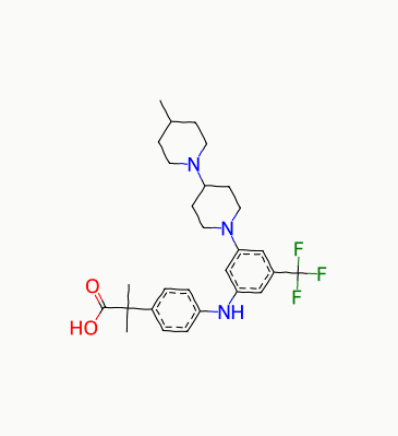 CC1CCN(C2CCN(c3cc(Nc4ccc(C(C)(C)C(=O)O)cc4)cc(C(F)(F)F)c3)CC2)CC1